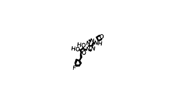 OC1C(/C=C/c2ccc(F)cc2)OC(n2cnc3c(NC4CCOC4)ncnc32)C1O